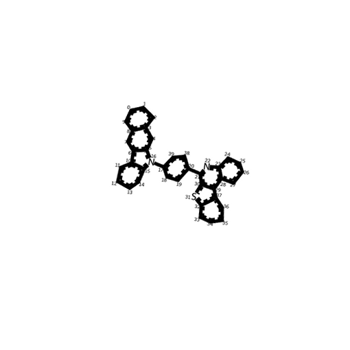 c1ccc2cc3c(cc2c1)c1ccccc1n3-c1ccc(-c2nc3ccccc3c3c2sc2ccccc23)cc1